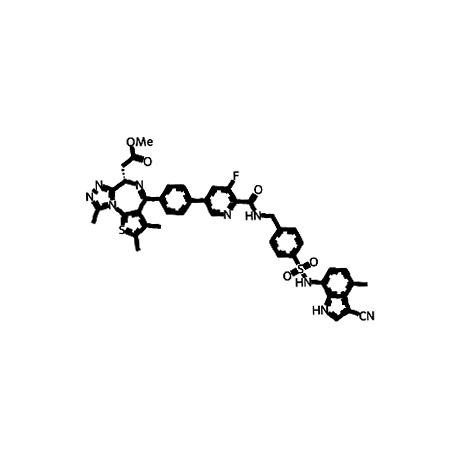 COC(=O)C[C@@H]1N=C(c2ccc(-c3cnc(C(=O)NCc4ccc(S(=O)(=O)Nc5ccc(C)c6c(C#N)c[nH]c56)cc4)c(F)c3)cc2)c2c(sc(C)c2C)-n2c(C)nnc21